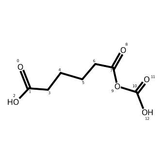 O=C(O)CCCCC(=O)OC(=O)O